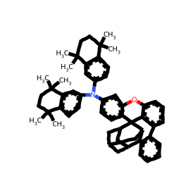 CC1(C)CCC(C)(C)c2cc(N(c3ccc4c(c3)Oc3cccc(-c5ccccc5)c3C43C4CC5CC(C4)CC3C5)c3ccc4c(c3)C(C)(C)CCC4(C)C)ccc21